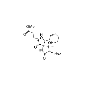 CCCCCC[C@H]1C(=O)N[C@](C(=O)SCCC(=O)OC)([C@@H](O)[C@@H]2C=CCCC2)[C@@]1(C)O